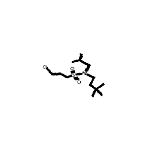 CC(C)CN(CCC(C)(C)C)S(=O)(=O)CCCCl